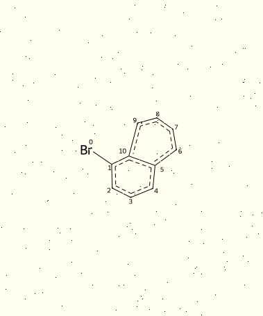 Brc1cccc2ccc[c]c12